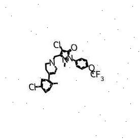 Cc1ccc(Cl)cc1C1=CCN(Cc2c(Cl)c(=O)n(-c3ccc(OC(F)(F)F)cc3)n2C)CC1